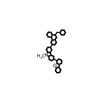 Cn1c2ccc(-c3ccc4cc(Cc5ccccc5)c5ccccc5c4c3)cc2c2cc(-c3cccc4c3oc3ccccc34)ccc21